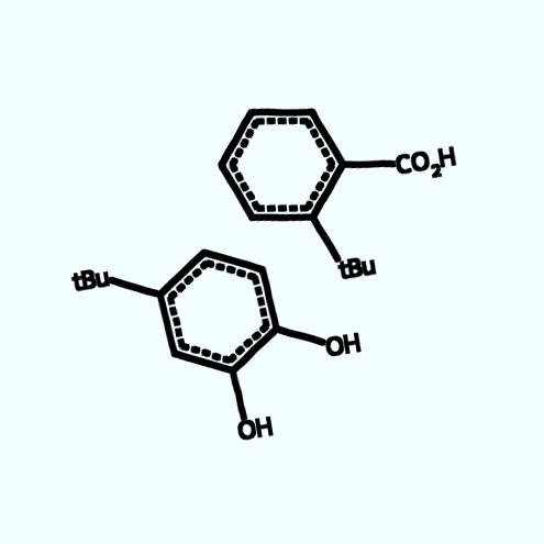 CC(C)(C)c1ccc(O)c(O)c1.CC(C)(C)c1ccccc1C(=O)O